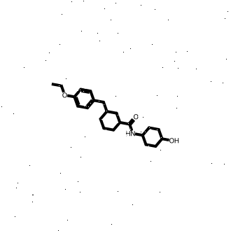 CCOc1ccc(CC2CCCC(C(=O)NC3CCC(O)CC3)C2)cc1